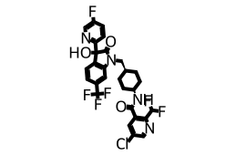 O=C(N[C@H]1CC[C@H](CN2C(=O)C(O)(c3ccc(F)cn3)c3ccc(C(F)(F)F)cc32)CC1)c1cc(Cl)cnc1C(F)F